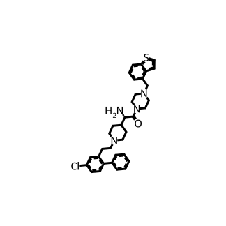 N[C@@H](C(=O)N1CCN(Cc2cccc3sccc23)CC1)C1CCN(CCc2cc(Cl)ccc2-c2ccccc2)CC1